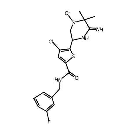 CC1(C)C(=N)NC(c2sc(C(=O)NCc3cccc(F)c3)cc2Cl)C[S+]1[O-]